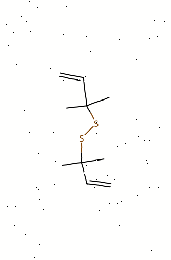 C=CC(C)(C)SSC(C)(C)C=C